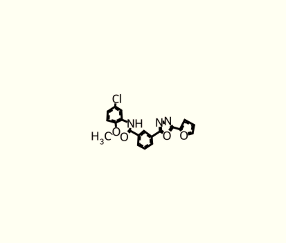 COc1ccc(Cl)cc1NC(=O)c1cccc(-c2nnc(-c3ccco3)o2)c1